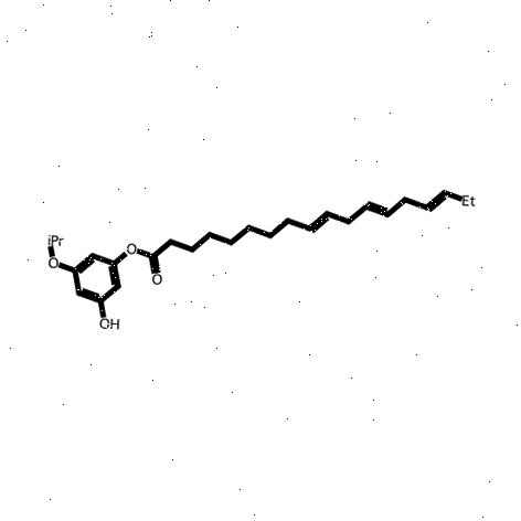 CCC=CCC=CCC=CCCCCCCCC(=O)Oc1cc(O)cc(OC(C)C)c1